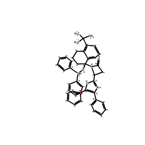 CC(C)(C)c1cccc2c1CCCC2(O[SiH](c1ccccc1)c1ccccc1)N1C(=O)CC1c1nc(-c2ccccc2)c(-c2ccccc2)o1